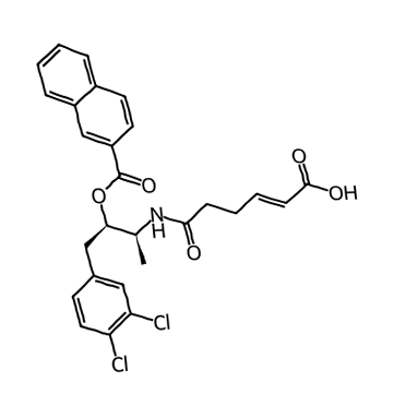 C[C@H](NC(=O)CC/C=C/C(=O)O)[C@@H](Cc1ccc(Cl)c(Cl)c1)OC(=O)c1ccc2ccccc2c1